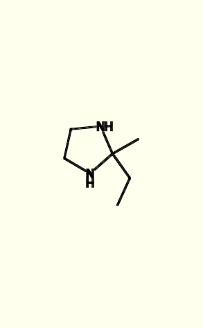 CCC1(C)NCCN1